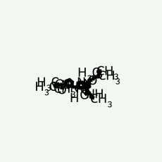 CCNC(=O)c1cn(COCCS(C)(C)C)c2ncc(NC3CCCN(C(=O)OC(C)(C)C)C3)nc12